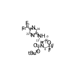 C[C@@H]1OC(F)(F)CN(C(=O)OC(C)(C)C)[C@@H]1CNc1cnc(C(F)F)cn1